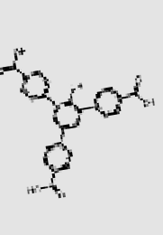 O=C(O)c1ccc(-c2cc(-c3ccc(C(=O)O)cc3)c(O)c(-c3ccc(C(=O)O)cc3)c2)cc1